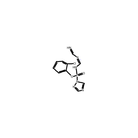 N=C/N=C\NP(=O)(Oc1ccccc1Cl)n1cncn1